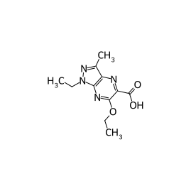 CCOc1nc2c(nc1C(=O)O)c(C)nn2CC